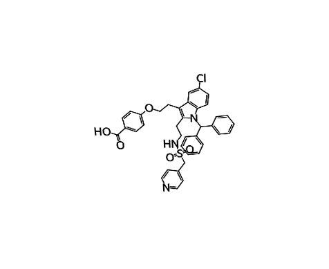 O=C(O)c1ccc(OCCc2c(CCNS(=O)(=O)Cc3ccncc3)n(C(c3ccccc3)c3ccccc3)c3ccc(Cl)cc23)cc1